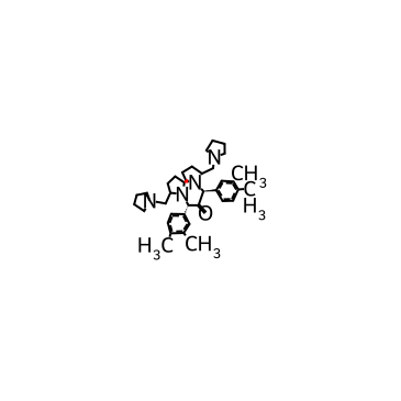 Cc1ccc([C@@H](C(=O)[C@H](c2ccc(C)c(C)c2)N2CCCC2CN2CCCC2)N2CCCC2CN2CCCC2)cc1C